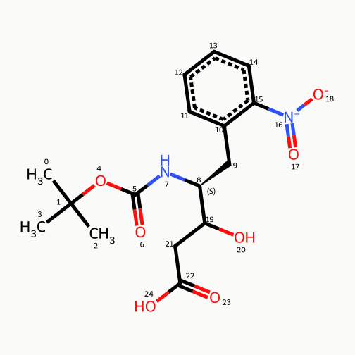 CC(C)(C)OC(=O)N[C@@H](Cc1ccccc1[N+](=O)[O-])C(O)CC(=O)O